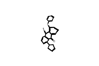 O=C1c2cccc(Sc3ccccc3)c2C(=S)c2cccc(C3CCCC3)c21